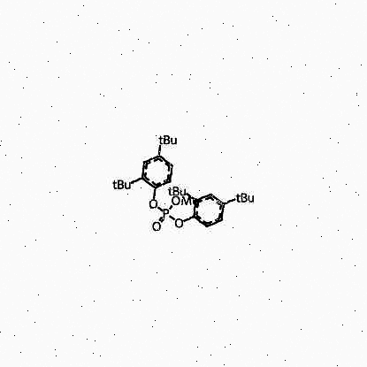 COP(=O)(Oc1ccc(C(C)(C)C)cc1C(C)(C)C)Oc1ccc(C(C)(C)C)cc1C(C)(C)C